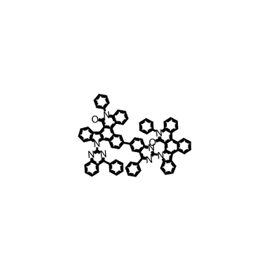 O=c1c2c(c3cc(-c4ccc5nc(-n6c7ccccc7c7c8ccccc8c8c9ccccc9n(-c9ccccc9)c(=O)c8c76)nc(-c6ccccc6)c5c4)ccc3c3c2c2ccccc2n3-c2nc(-c3ccccc3)c3ccccc3n2)c2ccccc2n1-c1ccccc1